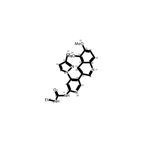 CCNC(=O)Nc1cc(-n2ccc(C(F)(F)F)n2)c(-c2cnc3ccc(OC)c(OC)c3c2)cn1